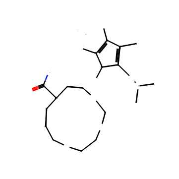 CC1=C(C)C(C)[C]([Ti+2][Si](C)C)=C1C.NC(=O)C1CCCCCCCCCCC1.[Cl-].[Cl-]